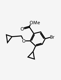 COC(=O)c1cc(Br)cc(C2CC2)c1OCC1CC1